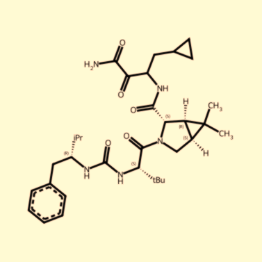 CC(C)[C@@H](Cc1ccccc1)NC(=O)N[C@H](C(=O)N1C[C@H]2[C@@H]([C@H]1C(=O)NC(CC1CC1)C(=O)C(N)=O)C2(C)C)C(C)(C)C